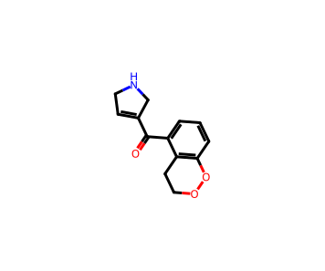 O=C(C1=CCNC1)c1cccc2c1CCOO2